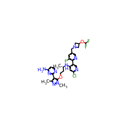 Cc1nn(C)c(OCC[C@H](C)Nc2cc(Cl)ncc2-c2ncc(CN3CC(OC(F)F)C3)cc2F)c1-c1nccc(N)n1